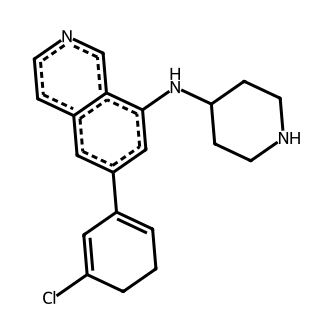 ClC1=CC(c2cc(NC3CCNCC3)c3cnccc3c2)=CCC1